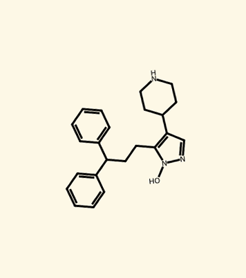 On1ncc(C2CCNCC2)c1CCC(c1ccccc1)c1ccccc1